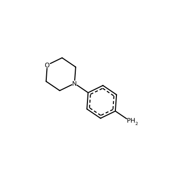 Pc1ccc(N2CCOCC2)cc1